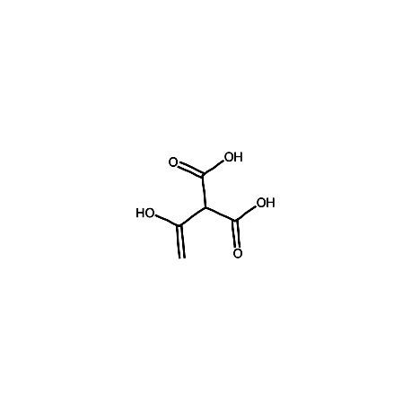 C=C(O)C(C(=O)O)C(=O)O